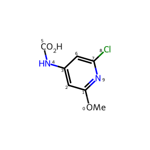 COc1cc(NC(=O)O)cc(Cl)n1